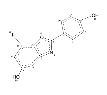 Oc1ccc(-c2nc3cc(O)cc(I)c3o2)cc1